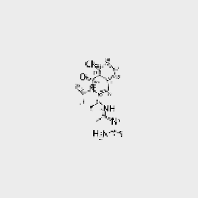 C=C(N)/N=C(\C)N[C@@H](C)c1cc2cccc(Cl)c2c(=O)n1C(C)C